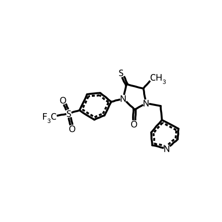 CC1C(=S)N(c2ccc(S(=O)(=O)C(F)(F)F)cc2)C(=O)N1Cc1ccncc1